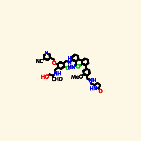 COc1cc(-c2cccc(-c3cccc(NCc4cc(OCc5cncc(C#N)c5)c(CNC(C=O)CO)cc4Cl)c3C=N)c2Cl)ccc1CNCC1CCC(=O)N1